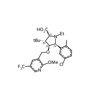 CCN1[C@H](C(=O)O)[C@@H](C(C)(C)C)[C@H](OCc2cc(C(F)(F)F)cnc2OC)[C@@H]1c1cc(Cl)ccc1C